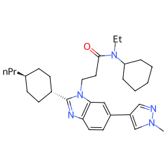 CCC[C@H]1CC[C@H](c2nc3ccc(-c4cnn(C)c4)cc3n2CCC(=O)N(CC)C2CCCCC2)CC1